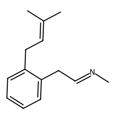 C/N=C/Cc1ccccc1CC=C(C)C